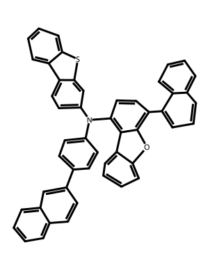 c1ccc2cc(-c3ccc(N(c4ccc5c(c4)sc4ccccc45)c4ccc(-c5cccc6ccccc56)c5oc6ccccc6c45)cc3)ccc2c1